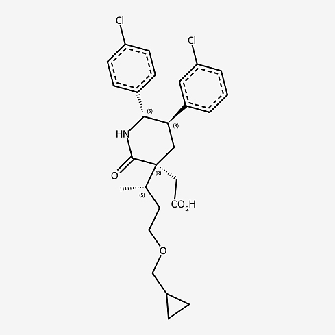 C[C@@H](CCOCC1CC1)[C@]1(CC(=O)O)C[C@H](c2cccc(Cl)c2)[C@@H](c2ccc(Cl)cc2)NC1=O